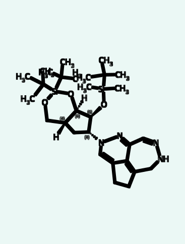 CC(C)(C)[Si](C)(C)O[C@@H]1[C@@H]2O[Si](C(C)(C)C)(C(C)(C)C)OC[C@H]2C[C@H]1N1C=C2CCC3=C2C(=N1)C=NNC3